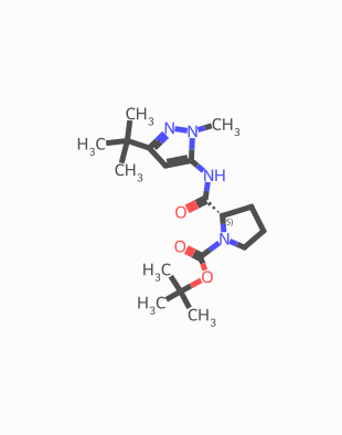 Cn1nc(C(C)(C)C)cc1NC(=O)[C@@H]1CCCN1C(=O)OC(C)(C)C